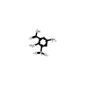 Cc1c(C(=O)O)cc(N)cc1[N+](=O)[O-]